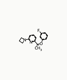 C[C@@H](Oc1cccc(F)c1)c1cccc(N2CCC2)n1